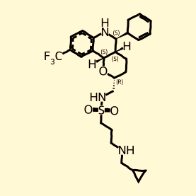 O=S(=O)(CCCNCC1CC1)NC[C@H]1CC[C@@H]2[C@H](O1)c1cc(C(F)(F)F)ccc1N[C@H]2C1C=CC=CC1